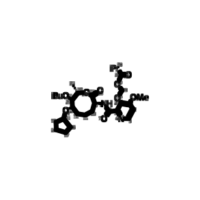 COc1ccnc(C(=O)N[C@H]2CCC[C@H](OC3CCCC3)[C@@H](OCC(C)C)[C@H](C)OC2=O)c1OCOC(=O)C(C)C